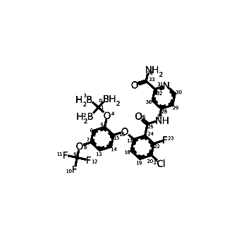 BC(B)(B)Oc1cc(OC(F)(F)F)ccc1Oc1ccc(Cl)c(F)c1C(=O)Nc1ccnc(C(N)=O)c1